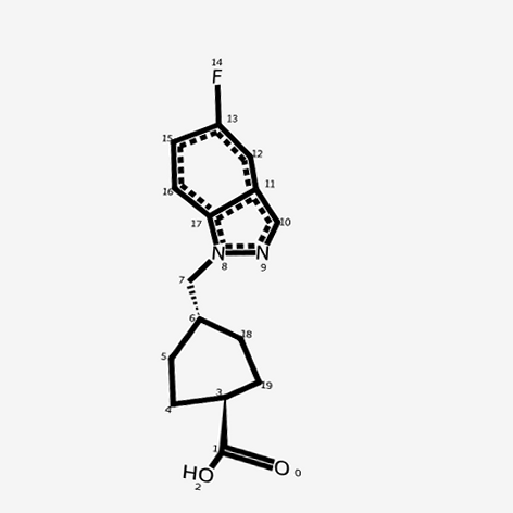 O=C(O)[C@H]1CC[C@H](Cn2ncc3cc(F)ccc32)CC1